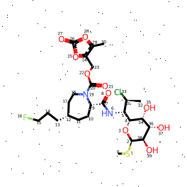 CS[C@H]1O[C@H]([C@H](NC(=O)[C@@H]2CC[C@H](CCCF)CCN2C(=O)OCc2oc(=O)oc2C)[C@H](C)Cl)[C@H](O)[C@H](O)[C@H]1O